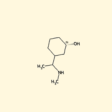 CNC(C)C1CCC[C@H](O)C1